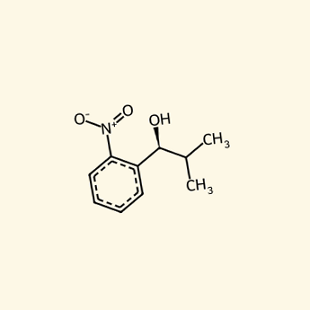 CC(C)[C@H](O)c1ccccc1[N+](=O)[O-]